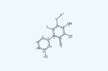 Cc1c(CF)c(O)c(Cl)c(=O)n1-c1ccnc(Cl)c1